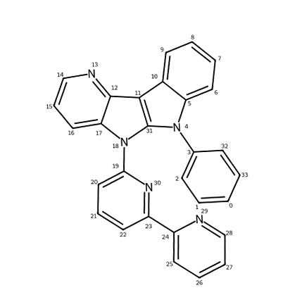 c1ccc(-n2c3ccccc3c3c4ncccc4n(-c4cccc(-c5ccccn5)n4)c32)cc1